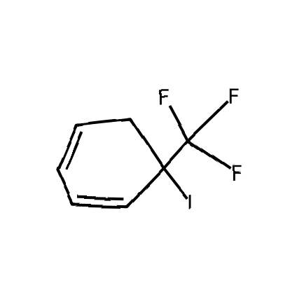 FC(F)(F)C1(I)C=CC=CC1